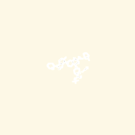 Cc1ccc2c(cnn2C2CCCCO2)c1N1CCc2c(nc(OC[C@@H]3CCCN3C)nc2N2CCN(C(=O)OC(C)(C)C)[C@@H](CC#N)C2)C1